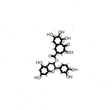 O=C(OC1Cc2c(O)cc(O)cc2OC1c1ccc(O)c(O)c1)c1cc(O)c(=O)c2c(O)c(O)c(O)cc2c1